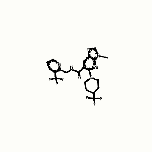 Cn1cnc2cc(C(=O)NCc3ncccc3C(F)(F)F)c(N3CCC(C(F)(F)F)CC3)nc21